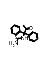 CC(=O)C(NC(N)=S)(c1ccccc1)c1ccccc1